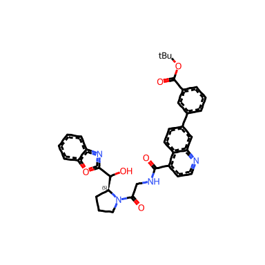 CC(C)(C)OC(=O)c1cccc(-c2ccc3c(C(=O)NCC(=O)N4CCC[C@H]4C(O)c4nc5ccccc5o4)ccnc3c2)c1